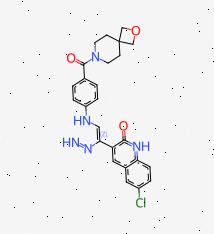 N=N/C(=C\Nc1ccc(C(=O)N2CCC3(CC2)COC3)cc1)c1cc2cc(Cl)ccc2[nH]c1=O